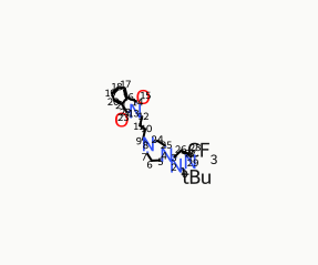 CC(C)(C)c1nc(N2CCCN(CCCCN3C(=O)c4ccccc4C3=O)CC2)cc(C(F)(F)F)n1